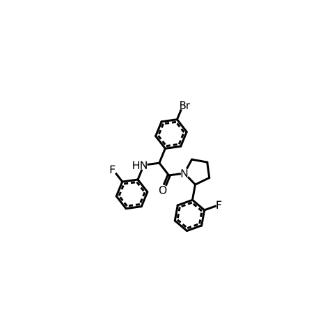 O=C(C(Nc1ccccc1F)c1ccc(Br)cc1)N1CCCC1c1ccccc1F